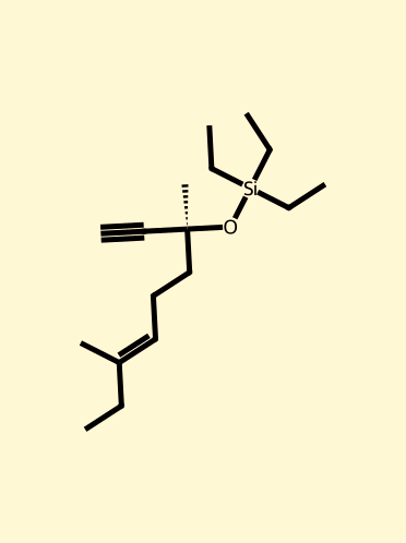 C#C[C@](C)(CC/C=C(\C)CC)O[Si](CC)(CC)CC